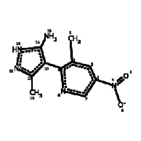 Cc1cc([N+](=O)[O-])cnc1-c1c(C)n[nH]c1N